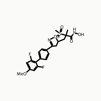 COc1cc(F)c(-c2ccc(C3=NOC(CC(C)(C(=O)NO)S(C)(=O)=O)C3)cc2)c(F)c1